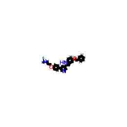 CN(C)CCCOc1ccc(-c2cncc(-c3cc4cc(OCc5ccccc5)ccc4[nH]3)c2)cc1